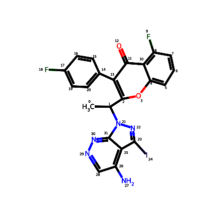 CC(c1oc2cccc(F)c2c(=O)c1-c1ccc(F)cc1)n1nc(I)c2c(N)cnnc21